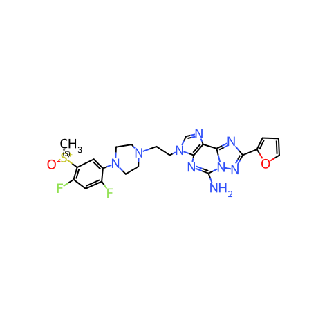 C[S@@+]([O-])c1cc(N2CCN(CCn3cnc4c3nc(N)n3nc(-c5ccco5)nc43)CC2)c(F)cc1F